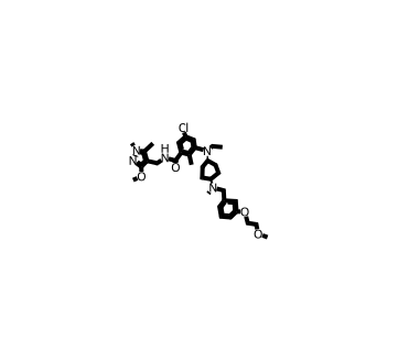 CCN(c1cc(Cl)cc(C(=O)NCc2c(OC)nn(C)c2C)c1C)[C@H]1CC[C@H](N(C)Cc2cccc(OCCOC)c2)CC1